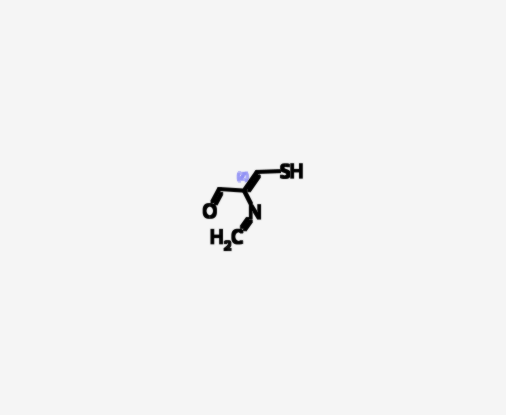 C=N/C(C=O)=C\S